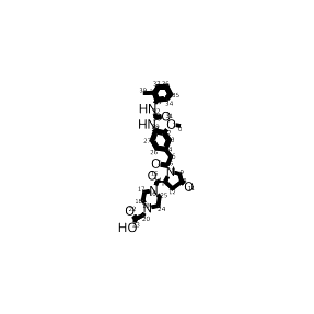 COc1cc(CC(=O)N2CC(=O)C[C@H]2C(=O)N2CCN(CC(=O)O)CC2)ccc1NC(=O)Nc1ccccc1C